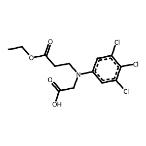 CCOC(=O)CCN(CC(=O)O)c1cc(Cl)c(Cl)c(Cl)c1